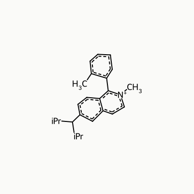 Cc1ccccc1-c1c2ccc(C(C(C)C)C(C)C)cc2cc[n+]1C